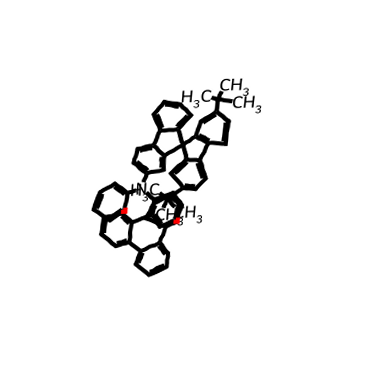 CC(C)(C)c1ccc2c(c1)C1(c3ccccc3-c3ccc(N(c4ccccc4)c4ccccc4-c4ccccc4-c4ccccc4C4=CCCC=C4)cc31)c1cc(C(C)(C)C)ccc1-2